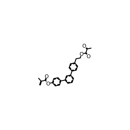 C=C(C)C(=O)Oc1ccc(-c2cccc(-c3ccc(CCOC(=O)C(C)=O)cc3)c2)cc1